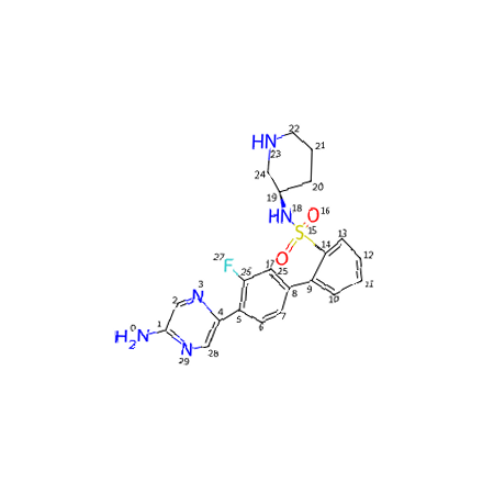 Nc1cnc(-c2ccc(-c3ccccc3S(=O)(=O)N[C@@H]3CCCNC3)cc2F)cn1